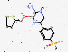 CN1CC(c2ccc(S(C)(=O)=O)cc2)NC(OCC2CCCS2)C1N